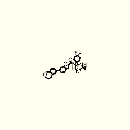 N#CC1(NC(=O)C2(NC(=O)c3cc4ccc(-c5ccc6c(c5)CCCOC6)cc4o3)CCC(F)(F)CC2)CC1